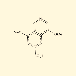 COc1cc(C(=O)O)cc2c(OC)cncc12